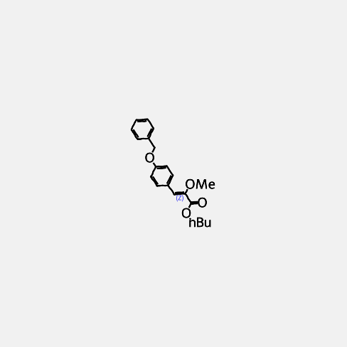 CCCCOC(=O)/C(=C/c1ccc(OCc2ccccc2)cc1)OC